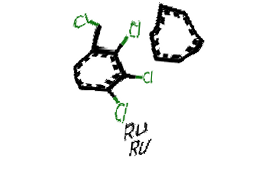 Clc1ccc(Cl)c(Cl)c1Cl.[Ru].[Ru].c1ccccc1